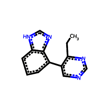 CCc1ncncc1-c1cccc2[nH]cnc12